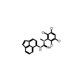 CN(C(=N)Nc1ccc2c3c(cccc13)C=C2)c1c(Cl)c(Cl)cc(Cl)c1Cl